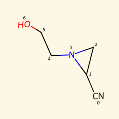 N#CC1CN1CCO